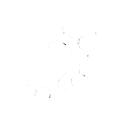 C[C@H](C[C@@H](N)c1ccc([C@@H](N)CC(N)=O)cc1)SC1=C(C(=O)O)N2C(=O)[C@H]([C@@H](C)O)C2[C@H]1C